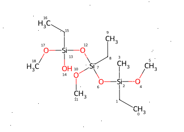 CC[Si](C)(OC)O[Si](CC)(OC)O[Si](O)(CC)OC